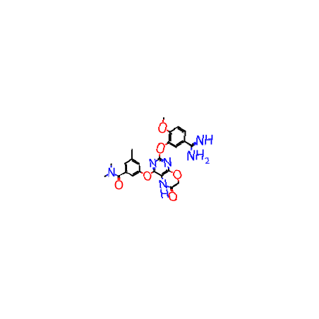 COc1ccc(C(=N)N)cc1Oc1nc2c(c(Oc3cc(C)cc(C(=O)N(C)C)c3)n1)NC(=O)CO2